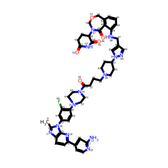 Cc1nc2ccc(-c3ccnc(N)c3)nc2n1-c1ccc(N2CCN(C(=O)CCCN3CCC(n4cc(CNc5cccc6c5C(=O)N(C5CCC(=O)NC5=O)COC6)cn4)CC3)CC2)c(F)c1